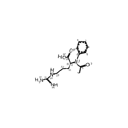 CC(=O)N(c1ccccc1)[C@@H](CCCNC(=N)N)C(=O)O